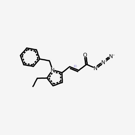 CCc1ccc(/C=C/C(=O)N=[N+]=[N-])n1Cc1ccccc1